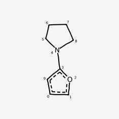 c1coc(N2CCCC2)c1